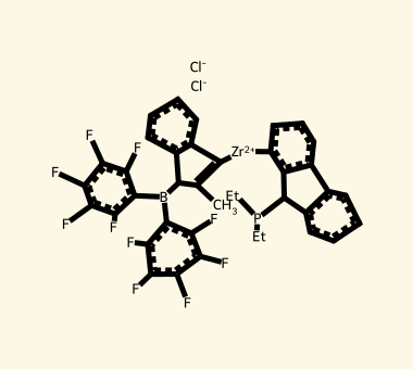 CCP(CC)C1c2ccccc2-c2ccc[c]([Zr+2][C]3=C(C)C(B(c4c(F)c(F)c(F)c(F)c4F)c4c(F)c(F)c(F)c(F)c4F)c4ccccc43)c21.[Cl-].[Cl-]